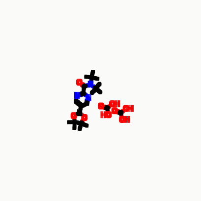 CC(C)(C)N(C(=O)c1ncc(B2OC(C)(C)C(C)(C)O2)cn1)C(C)(C)C.O=C(O)O.O=C(O)O